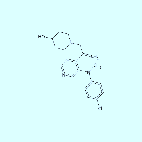 C=C(CN1CCC(O)CC1)c1ccncc1N(C)c1ccc(Cl)cc1